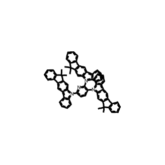 CC1(C)c2ccccc2-c2cc3c4ccccc4n(-c4ccc(-n5c6ccccc6c6cc7c(cc65)C(C)(C)c5ccccc5-7)c(-n5c6ccccc6c6cc7c(cc65)C(C)(C)c5ccccc5-7)n4)c3cc21